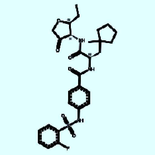 CC[C@@H]1OCC(=O)[C@H]1NC(=O)[C@H](CC1(C)CCCC1)NC(=O)c1ccc(NS(=O)(=O)c2ccccc2F)cc1